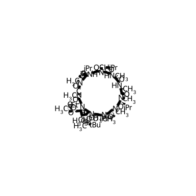 CC[C@H]1NC(=O)[C@@H]([C@H](O[Si](C)(C)C(C)(C)C)[C@H](C)CCOS(C)(=O)=O)N(C)C(=O)[C@@H](C(C)C)N(C)C(=O)[C@@H](CC(C)C)N(C)C(=O)[C@@H](CC(C)C)N(C)C(=O)[C@H](C)NC(=O)[C@@H](C)NC(=O)[C@@H](CC(C)C)N(C)C(=O)[C@@H](C(C)C)NC(=O)[C@H](CC(C)C)N(C)C(=O)CN(C)C1=O